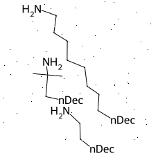 CCCCCCCCCCCC(C)(C)N.CCCCCCCCCCCCCCCCCCN.CCCCCCCCCCCCN